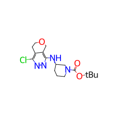 CC(C)(C)OC(=O)N1CCC[C@@H](Nc2nnc(Cl)c3c2COCC3)C1